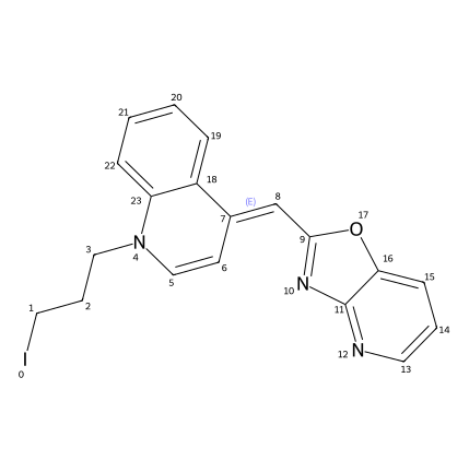 ICCCN1C=C/C(=C\c2nc3ncccc3o2)c2ccccc21